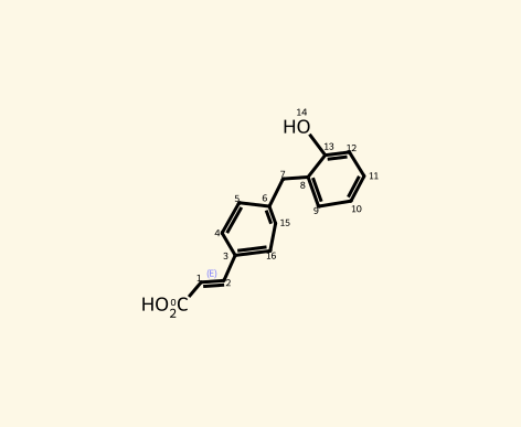 O=C(O)/C=C/c1ccc(Cc2ccccc2O)cc1